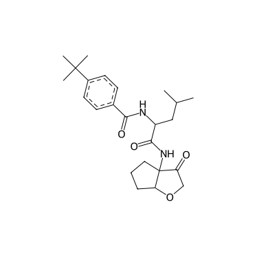 CC(C)CC(NC(=O)c1ccc(C(C)(C)C)cc1)C(=O)NC12CCCC1OCC2=O